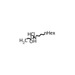 C=CC(=O)ONCCCCCCCCCC.Cl